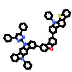 c1ccc(-c2cc(-c3ccccc3)nc(-n3c4ccc(-c5ccc6oc7ccc(-c8ccc9c(c8)c8ccc%10c%11ccccc%11sc%10c8n9-c8ccccc8)cc7c6c5)cc4c4cc5c(cc43)c3ccccc3n5-c3ccccc3)n2)cc1